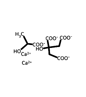 CC(O)C(=O)[O-].O=C([O-])CC(O)(CC(=O)[O-])C(=O)[O-].[Ca+2].[Ca+2]